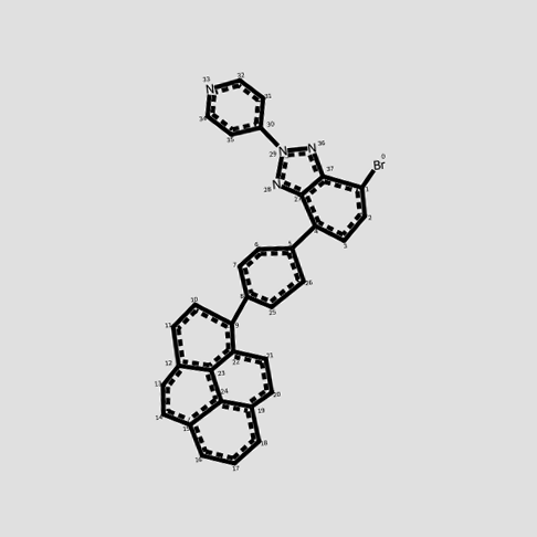 Brc1ccc(-c2ccc(-c3ccc4ccc5cccc6ccc3c4c56)cc2)c2nn(-c3ccncc3)nc12